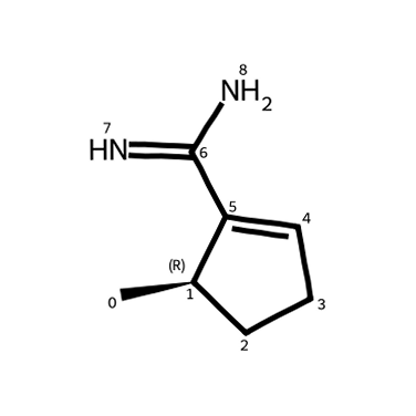 C[C@@H]1CCC=C1C(=N)N